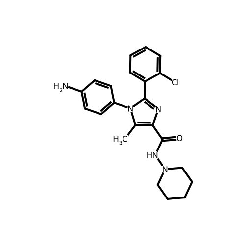 Cc1c(C(=O)NN2CCCCC2)nc(-c2ccccc2Cl)n1-c1ccc(N)cc1